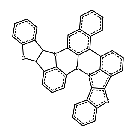 c1ccc2c(c1)OC1c3cccc4c3N(c3cc5ccccc5c5c3B4n3c4c-5cccc4c4sc5ccccc5c43)C21